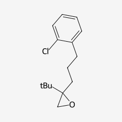 CC(C)(C)C1(CCCc2ccccc2Cl)CO1